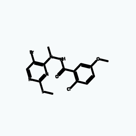 COc1ccc(Cl)c(C(=O)NN(C)c2nc(SC)ncc2Br)c1